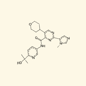 Cn1cncc1-c1ncc(C2CCOCC2)c(C(=O)Nc2ccc(C(C)(C)O)nc2)n1